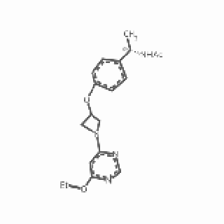 CCOc1cc(N2CC(Oc3ccc([C@H](C)NC(C)=O)cc3)C2)ncn1